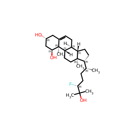 C[C@H](CC[C@@H](F)C(C)(C)O)[C@H]1CC[C@H]2[C@@H]3CC=C4C[C@@H](O)C[C@H](O)[C@]4(C)[C@H]3CC[C@]12C